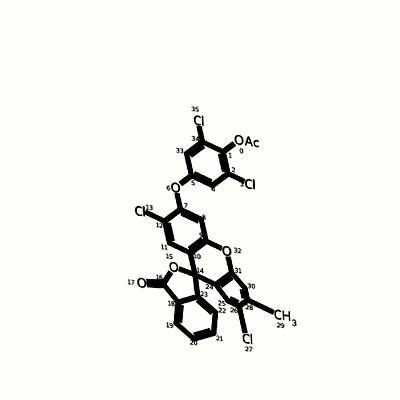 CC(=O)Oc1c(Cl)cc(Oc2cc3c(cc2Cl)C2(OC(=O)c4ccccc42)c2cc(Cl)c(C)cc2O3)cc1Cl